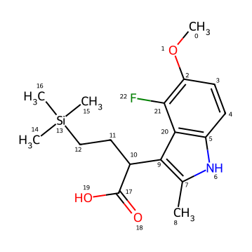 COc1ccc2[nH]c(C)c(C(CC[Si](C)(C)C)C(=O)O)c2c1F